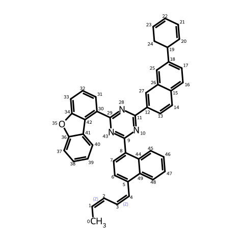 C/C=C\C=C/c1ccc(-c2nc(-c3ccc4ccc(C5C=CC=CC5)cc4c3)nc(-c3cccc4oc5ccccc5c34)n2)c2ccccc12